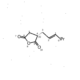 CC(C)C=CC[C@H]1CC(=O)OC1=O